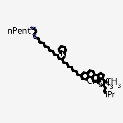 CCCCC/C=C\C/C=C\CCCCCCCCCCC(CCCCCCCC1CCC2(C)C(=CCC3C2CCC2(C)C(C(C)CCCC(C)C)CCC32)C1)CN1CCCCC1